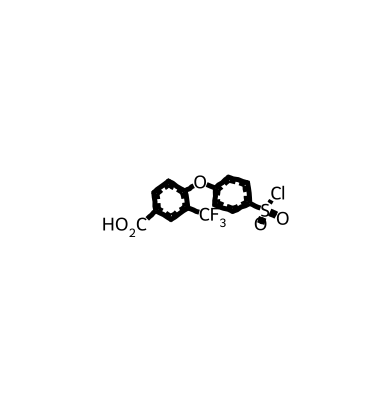 O=C(O)c1ccc(Oc2ccc(S(=O)(=O)Cl)cc2)c(C(F)(F)F)c1